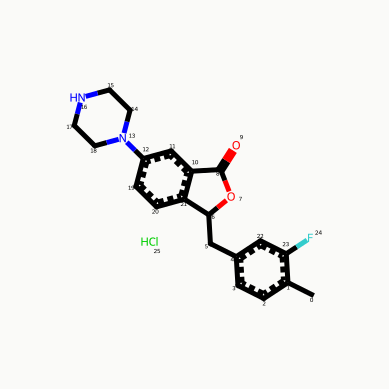 Cc1ccc(CC2OC(=O)c3cc(N4CCNCC4)ccc32)cc1F.Cl